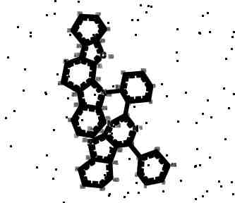 c1ccc(-c2nc(-c3ccccc3-n3c4ccccc4c4ccc5c6ccccc6oc5c43)nc3sc4ccccc4c23)cc1